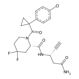 C#C[C@H](CC(N)=O)NC(=O)[C@@H]1CC(F)(F)CCN1C(=O)C1(c2ccc(Cl)cc2)CC1